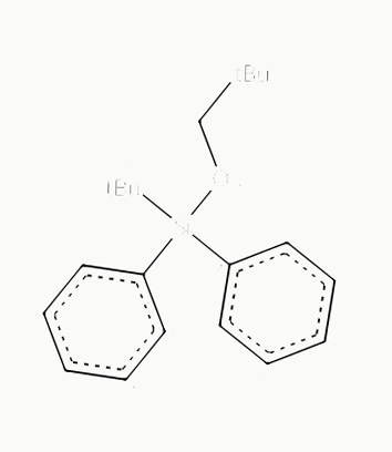 [CH2]C(C)(C)CO[Si](c1ccccc1)(c1ccccc1)C(C)(C)C